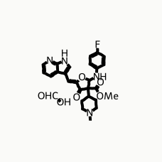 COC(=O)C1(C2CCN(C)CC2)C(=O)C(=Cc2c[nH]c3ncccc23)OC1Nc1ccc(F)cc1.O=CO